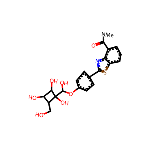 CNC(=O)c1cccc2sc(-c3ccc(OC(O)C4(O)C(O)C(O)C4CO)cc3)nc12